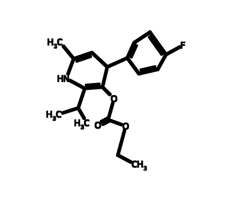 CCOC(=O)OC1=C(C(C)C)NC(C)=CC1c1ccc(F)cc1